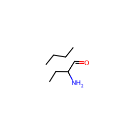 CCC(N)C=O.CCCC